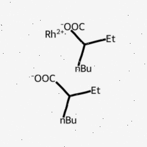 CCCCC(CC)C(=O)[O-].CCCCC(CC)C(=O)[O-].[Rh+2]